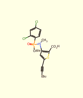 COP(=O)(c1ccc(Cl)cc1Cl)N(C)c1cc(C#CC(C)(C)C)sc1C(=O)O